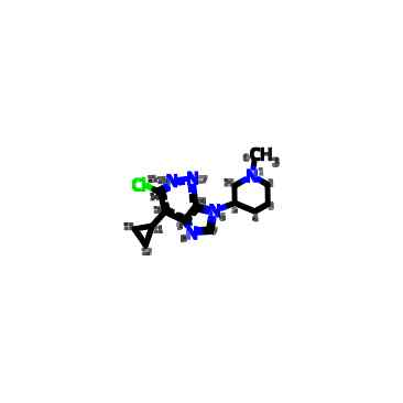 CN1CCCC(n2cnc3c(C4CC4)c(Cl)nnc32)C1